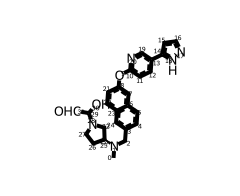 CN(Cc1ccc2cc(Oc3ccc(-c4ccn[nH]4)cn3)ccc2c1)[C@H]1CCN(C(O)C=O)C1